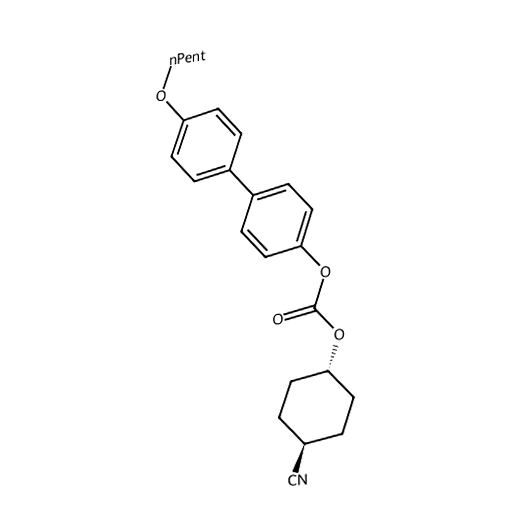 CCCCCOc1ccc(-c2ccc(OC(=O)O[C@H]3CC[C@H](C#N)CC3)cc2)cc1